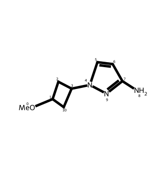 COC1CC(n2ccc(N)n2)C1